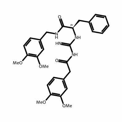 COc1ccc(CNC(=O)[C@@H](Cc2ccccc2)NC(=N)NC(=O)Cc2ccc(OC)c(OC)c2)cc1OC